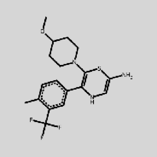 COC1CCN(C2=C(c3ccc(C)c(C(F)(F)F)c3)NC=C(N)S2)CC1